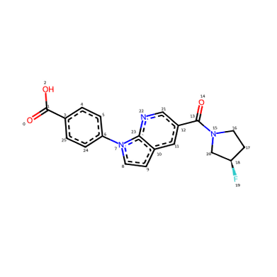 O=C(O)c1ccc(-n2ccc3cc(C(=O)N4CC[C@@H](F)C4)cnc32)cc1